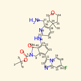 CC(C)(C)OC(=O)N1Cc2c(-c3cnc4cc(F)ccn34)ccc(Nc3ccc(C4(C)CCOCC4)c(CN)n3)c2C1=O